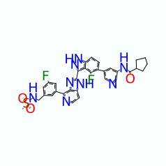 CS(=O)(=O)NCc1cc(F)cc(-c2nccc3[nH]c(-c4n[nH]c5ccc(-c6cncc(NC(=O)C7CCCC7)c6)c(F)c45)nc23)c1